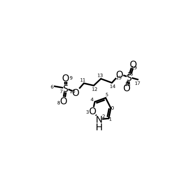 C1=CNOC=C1.CS(=O)(=O)OCCCCOS(C)(=O)=O